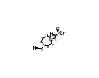 N#CCN1CCOc2nc([N+](=O)[O-])cn2CC1